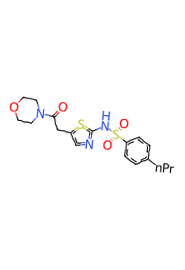 CCCc1ccc(S(=O)(=O)Nc2ncc(CC(=O)N3CCOCC3)s2)cc1